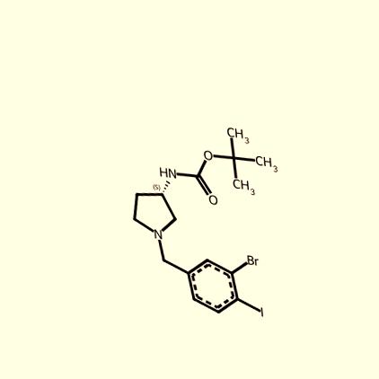 CC(C)(C)OC(=O)N[C@H]1CCN(Cc2ccc(I)c(Br)c2)C1